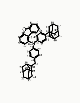 c1ccc2c(c1)oc1cccc(N(c3ccc(CC4C5CC6CC(C5)CC4C6)cc3)c3ccc(C45CC6CC(CC(C6)C4)C5)cc3)c12